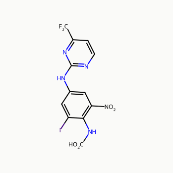 O=C(O)Nc1c(I)cc(Nc2nccc(C(F)(F)F)n2)cc1[N+](=O)[O-]